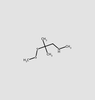 CNCC(C)(C)SSC